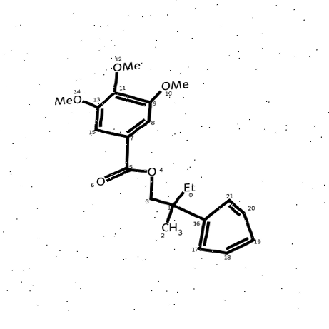 CCC(C)(COC(=O)c1cc(OC)c(OC)c(OC)c1)c1ccccc1